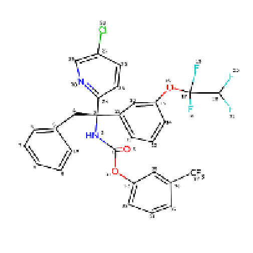 O=C(N[C@@](Cc1ccccc1)(c1cccc(OC(F)(F)C(F)F)c1)c1ccc(Cl)cn1)Oc1cccc(C(F)(F)F)c1